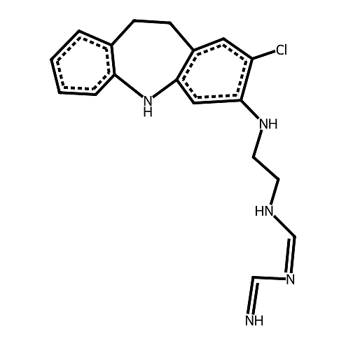 N=C/N=C\NCCNc1cc2c(cc1Cl)CCc1ccccc1N2